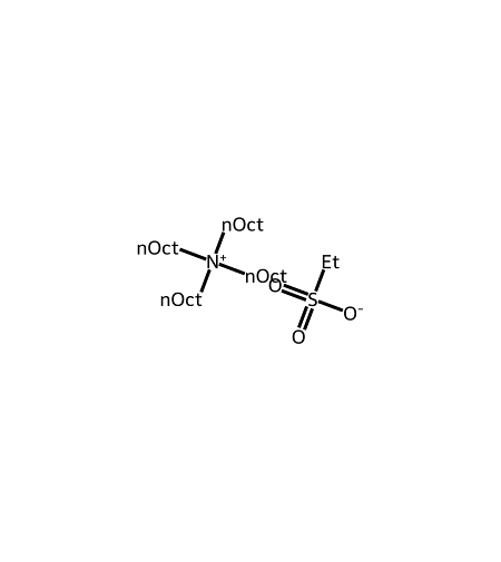 CCCCCCCC[N+](CCCCCCCC)(CCCCCCCC)CCCCCCCC.CCS(=O)(=O)[O-]